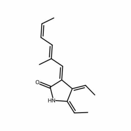 C/C=C\C=C(/C)C=C1C(=O)NC(=C/C)/C1=C\C